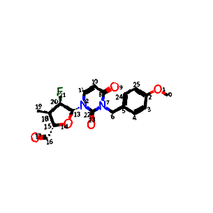 COc1ccc(Cn2c(=O)ccn([C@@H]3O[C@H](C=O)[C@@H](C)[C@H]3F)c2=O)cc1